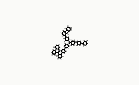 c1ccc(-c2ccc(-c3ccc(N(c4ccc(-c5ccc6c(c5)c(-c5ccccc5)c(-c5ccccc5)c5ccccc56)cc4)c4ccc(-c5cccc6c5oc5ccccc56)cc4)cc3)cc2)cc1